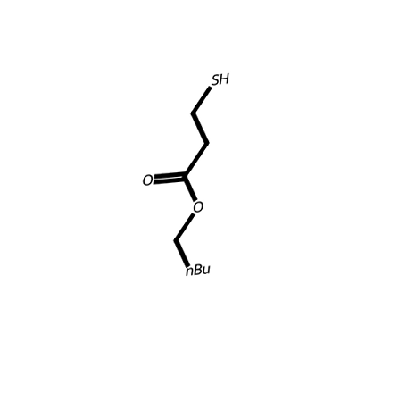 CCCCCOC(=O)CCS